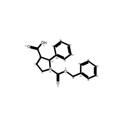 O=C(O)C1CCN(C(=O)OCc2ccccc2)C1c1ccccc1